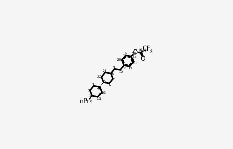 CCC[C@H]1CC[C@H](C2CCC(CCc3ccc(OC(=O)C(F)(F)F)cc3)CC2)CC1